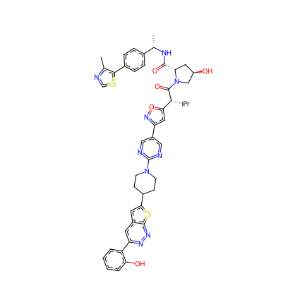 Cc1ncsc1-c1ccc([C@H](C)NC(=O)[C@@H]2C[C@@H](O)CN2C(=O)[C@@H](c2cc(-c3cnc(N4CCC(c5cc6cc(-c7ccccc7O)nnc6s5)CC4)nc3)no2)C(C)C)cc1